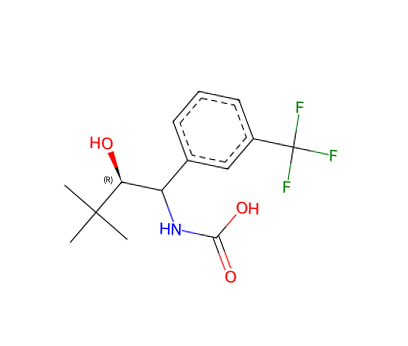 CC(C)(C)[C@@H](O)C(NC(=O)O)c1cccc(C(F)(F)F)c1